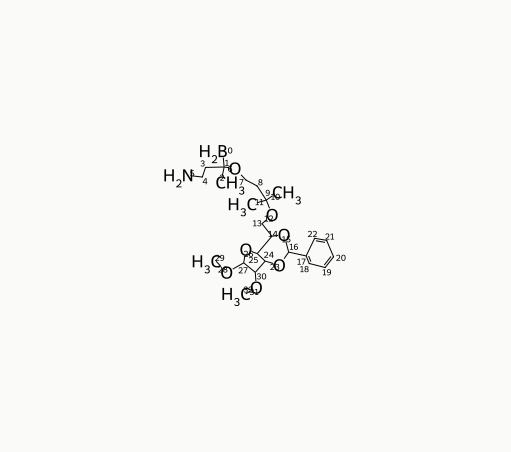 BC(C)(CCN)OCCC(C)(C)OCC1OC(c2ccccc2)OC2C1OC(OC)C2OC